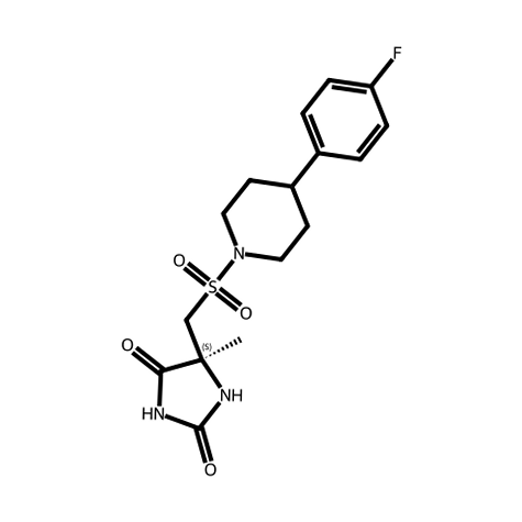 C[C@]1(CS(=O)(=O)N2CCC(c3ccc(F)cc3)CC2)NC(=O)NC1=O